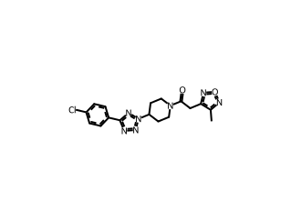 Cc1nonc1CC(=O)N1CCC(n2nnc(-c3ccc(Cl)cc3)n2)CC1